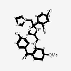 COc1ccc(C(=O)c2ccc(Cl)cc2)c(OCC2COC(Cn3ccnc3)(c3ccc(Cl)cc3Cl)O2)c1